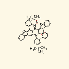 CC(C)(C)c1ccc(N2c3cc4c(oc5ccccc54)c4c3B(c3c2ccc2c3sc3ccccc32)N2c3ccccc3C(C)(C)c3cccc-4c32)c(-c2ccccc2)c1